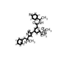 C[C@@H](NC(=O)c1cc(-c2cc([C@](C)(N)Cc3ccccc3)no2)cc(N(C)S(C)(=O)=O)c1)c1ccc(F)cc1